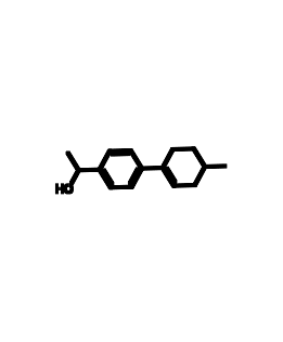 CC1CC=C(c2ccc(C(C)O)cc2)CC1